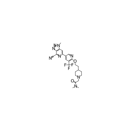 CN(C)C(=O)CN1CCC(CCOc2ncc(-c3cc4c(nnn4C)c(C#N)n3)cc2C(F)(F)F)CC1